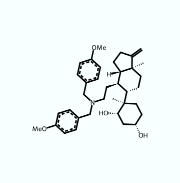 C=C1CC[C@H]2[C@H](CCN(Cc3ccc(OC)cc3)Cc3ccc(OC)cc3)[C@@H]([C@@]3(C)CC[C@H](O)C[C@@H]3O)CC[C@]12C